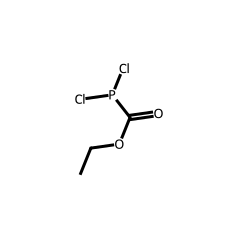 CCOC(=O)P(Cl)Cl